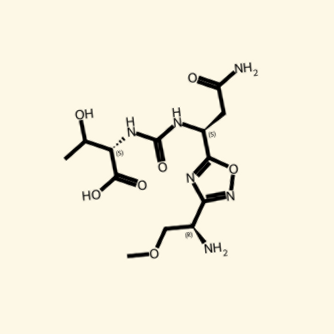 COC[C@H](N)c1noc([C@H](CC(N)=O)NC(=O)N[C@H](C(=O)O)C(C)O)n1